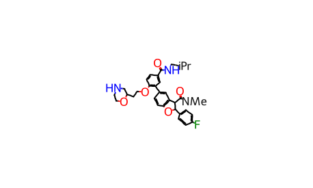 CNC(=O)C1c2cc(-c3cc(C(=O)NCC(C)C)ccc3OCCC3CNCCO3)ccc2OC1c1ccc(F)cc1